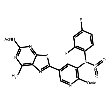 COc1ncc(-c2nc3c(C)nc(NC(C)=O)nc3s2)cc1N(c1ccc(F)cc1F)[SH](=O)=O